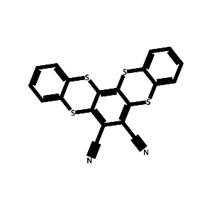 N#Cc1c(C#N)c2sc3ccccc3sc2c2sc3ccccc3sc12